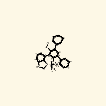 COc1c(-c2ccccc2)cc(-c2ccccc2)c(C)c1-c1cccc2c1[P@](C(C)(C)C)CO2